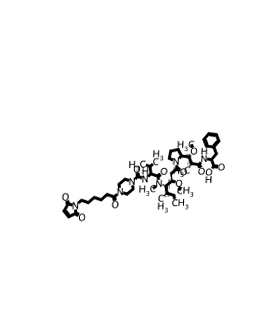 CC[C@H](C)[C@@H]([C@@H](CC(=O)N1CCCC1[C@H](OC)[C@@H](C)C(=O)NC(Cc1ccccc1)C(=O)O)OC)N(C)C(=O)C(NC(=O)N1CCN(C(=O)CCCCCN2C(=O)C=CC2=O)CC1)C(C)C